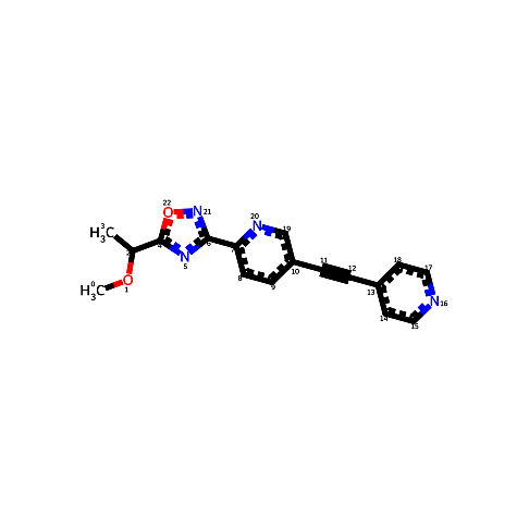 COC(C)c1nc(-c2ccc(C#Cc3ccncc3)cn2)no1